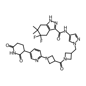 CC1(C)Cc2[nH]nc(C(=O)Nc3cnn(CC4CN(C(=O)C5CN(c6ccc(C7CCC(=O)NC7=O)cn6)C5)C4)c3)c2CC1(F)F